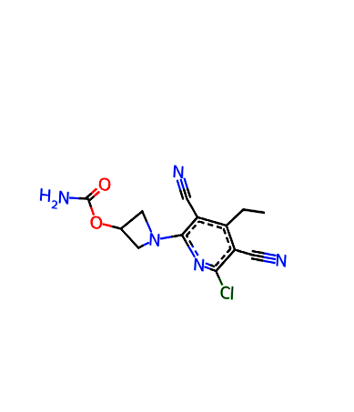 CCc1c(C#N)c(Cl)nc(N2CC(OC(N)=O)C2)c1C#N